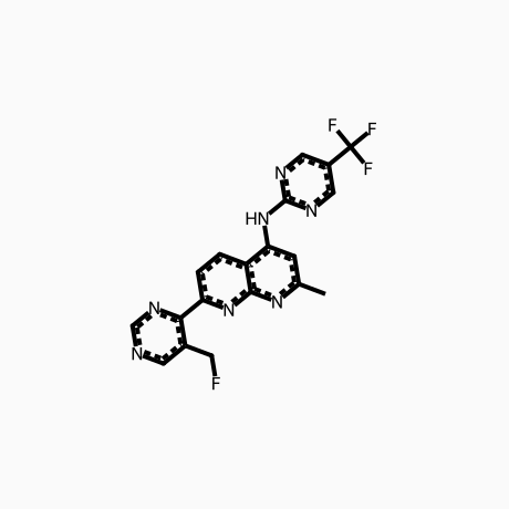 Cc1cc(Nc2ncc(C(F)(F)F)cn2)c2ccc(-c3ncncc3CF)nc2n1